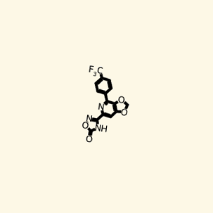 O=c1[nH]c(-c2cc3c(c(-c4ccc(C(F)(F)F)cc4)n2)OCO3)no1